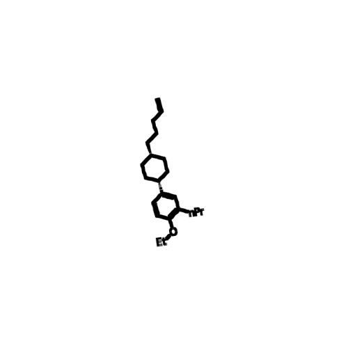 C=CCCC[C@H]1CC[C@H](c2ccc(OCC)c(CCC)c2)CC1